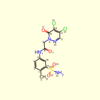 Cc1ccc(NC(=O)Cn2ncc(Cl)c(Cl)c2=O)cc1S(N)(=O)=O